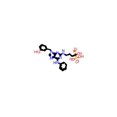 O=PC(O)(CCCNc1nc(Nc2ccccc2)c2ncn(Cc3cccc(O)c3)c2n1)P(=O)(O)O